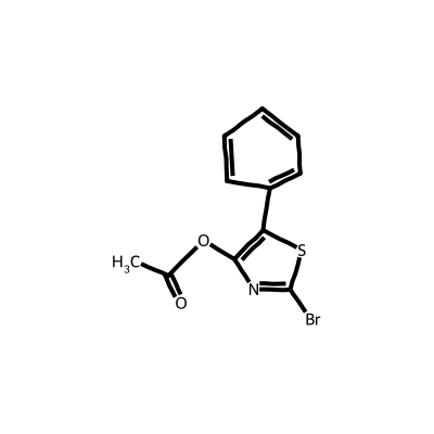 CC(=O)Oc1nc(Br)sc1-c1ccccc1